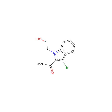 COC(=O)c1c(Br)c2ccccc2n1CCO